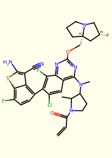 C=CC(=O)N1CCC(N(C)c2nc(OC[C@]34CCCN3C[C@H](F)C4)nc3c(F)c(-c4ccc(F)c5sc(N)c(C#N)c45)c(Cl)cc23)C1C